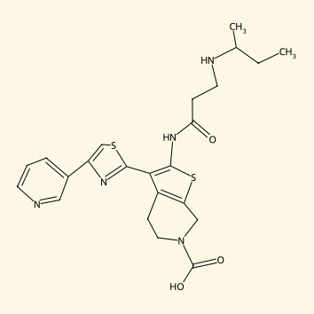 CCC(C)NCCC(=O)Nc1sc2c(c1-c1nc(-c3cccnc3)cs1)CCN(C(=O)O)C2